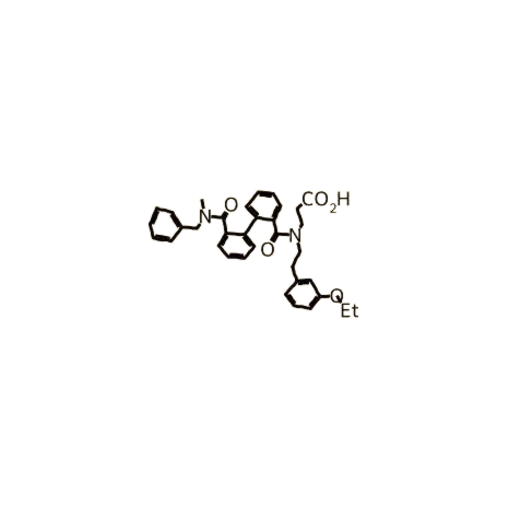 CCOc1cccc(CCN(CCC(=O)O)C(=O)c2ccccc2-c2ccccc2C(=O)N(C)Cc2ccccc2)c1